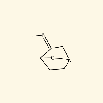 CN=C1CN2CCC1CC2